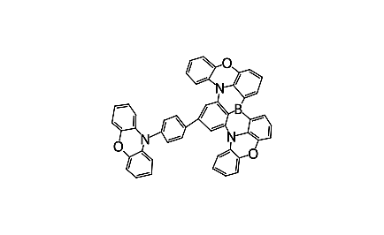 c1ccc2c(c1)Oc1ccccc1N2c1ccc(-c2cc3c4c(c2)N2c5ccccc5Oc5cccc(c52)B4c2cccc4c2N3c2ccccc2O4)cc1